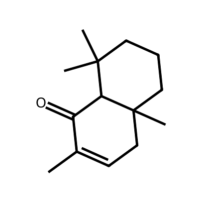 CC1=CCC2(C)CCCC(C)(C)C2C1=O